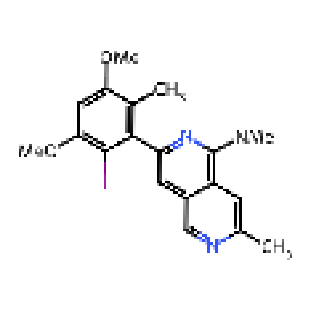 CNc1nc(-c2c(C)c(OC)cc(OC)c2I)cc2cnc(C)cc12